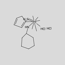 Cl.Cl.[CH3][Hf]([CH3])([CH3])([CH3])([CH3])([CH3])(=[SiH2])([NH]C1CCCCC1)[C]1=CC=CC1